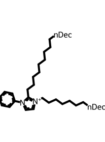 CCCCCCCCCCCCCCCCCCCc1n(-c2ccccc2)cc[n+]1CCCCCCCCCCCCCCCCC